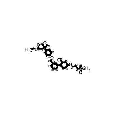 CCOC(=O)CC1(c2ccc(OCc3cccc(-c4ccc(OCCCS(C)(=O)=O)cc4Cl)c3)cc2)COC1